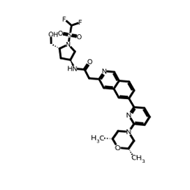 C[C@@H]1CN(c2cccc(-c3ccc4cnc(CC(=O)N[C@H]5C[C@H](CO)N(S(=O)(=O)C(F)F)C5)cc4c3)n2)C[C@H](C)O1